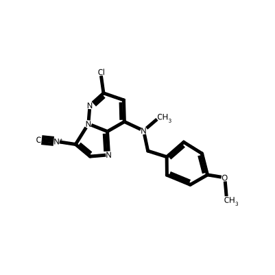 [C-]#[N+]c1cnc2c(N(C)Cc3ccc(OC)cc3)cc(Cl)nn12